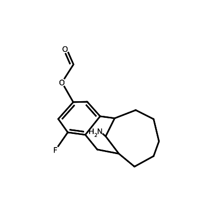 NC1C2CCCCCC1c1cc(OC=O)cc(F)c1C2